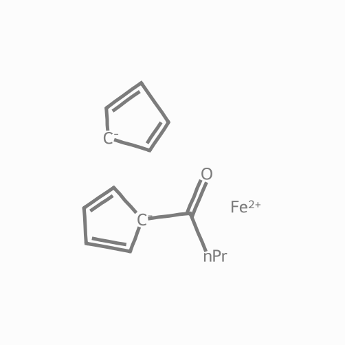 CCCC(=O)[c-]1cccc1.[Fe+2].c1cc[cH-]c1